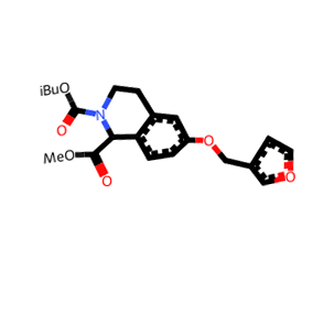 COC(=O)C1c2ccc(OCc3ccoc3)cc2CCN1C(=O)OCC(C)C